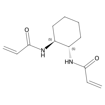 C=CC(=O)N[C@H]1CCCC[C@@H]1NC(=O)C=C